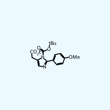 CCOC(=O)Cc1cnc(-c2ccc(OC)cc2)n1C(=O)OC(C)(C)C